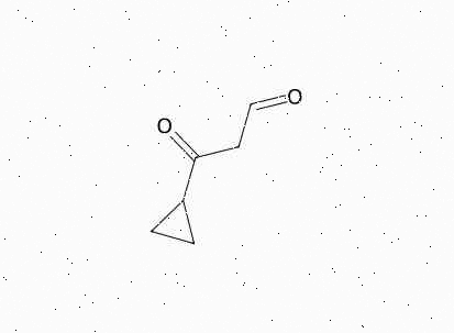 O=CCC(=O)C1CC1